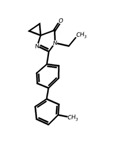 CCN1C(=O)C2(CC2)N=C1c1ccc(-c2cccc(C)c2)cc1